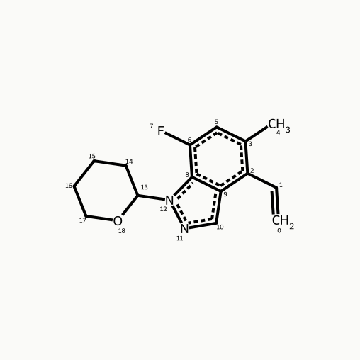 C=Cc1c(C)cc(F)c2c1cnn2C1CCCCO1